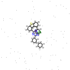 Clc1nc(-c2cccc(-c3ccccc3)c2)nc(-c2cccc3sc4cccc(-c5ccccc5)c4c23)n1